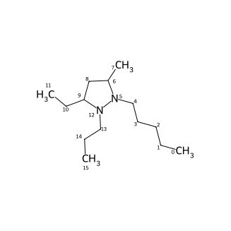 CCCCCN1C(C)CC(CC)N1CCC